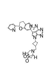 Nc1ncnc2c1c(-c1ccc3c(c1)OC(c1ccccn1)CC3)cn2C1CC(CN2C[C@@H]3C[C@H]2CS3(=O)=O)C1